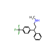 CNCCC(c1ccccc1)c1ccc(C(F)(F)F)cc1